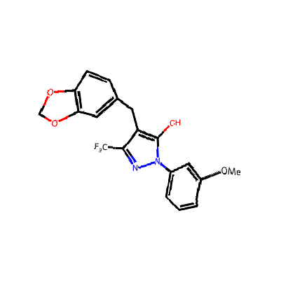 COc1cccc(-n2nc(C(F)(F)F)c(Cc3ccc4c(c3)OCO4)c2O)c1